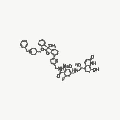 COc1cc(CNC[C@H](O)c2ccc(O)c3[nH]c(=O)ccc23)cc(F)c1C(=O)NCc1ccc(-c2cccc([C@](O)(C(=O)OCC3CCN(Cc4ccccc4)CC3)c3ccccc3)c2)s1